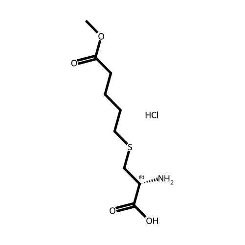 COC(=O)CCCCSC[C@H](N)C(=O)O.Cl